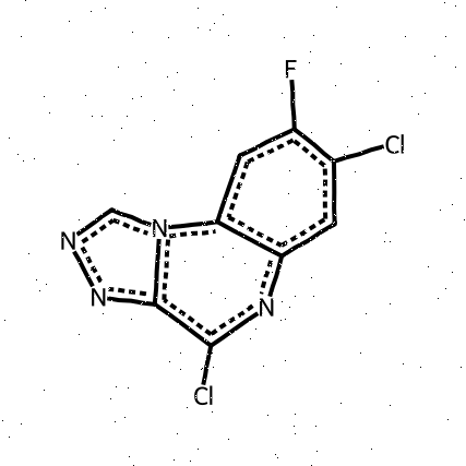 Fc1cc2c(cc1Cl)nc(Cl)c1nncn12